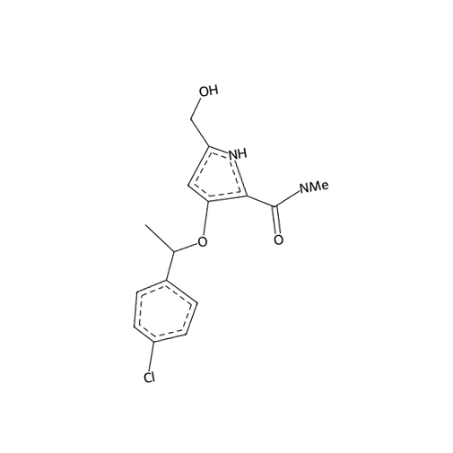 CNC(=O)c1[nH]c(CO)cc1OC(C)c1ccc(Cl)cc1